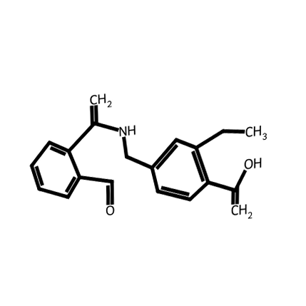 C=C(NCc1ccc(C(=C)O)c(CC)c1)c1ccccc1C=O